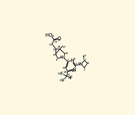 C[C@H]1CCN1c1nc(N2CC3C(CC(=O)O)C3(C)C2)cc(C(F)(F)F)n1